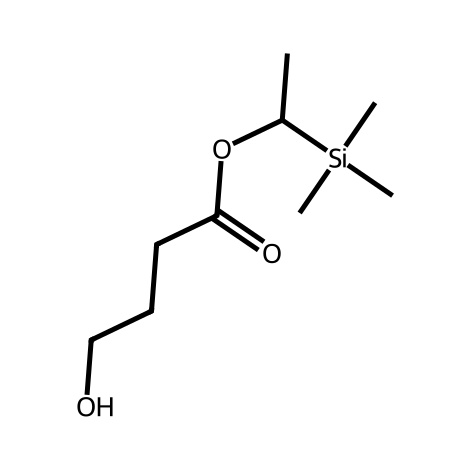 CC(OC(=O)CCCO)[Si](C)(C)C